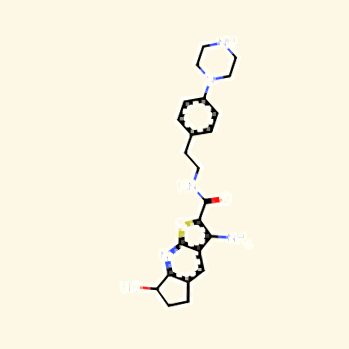 Nc1c(C(=O)NCCc2ccc(N3CCNCC3)cc2)sc2nc3c(cc12)CCC3O